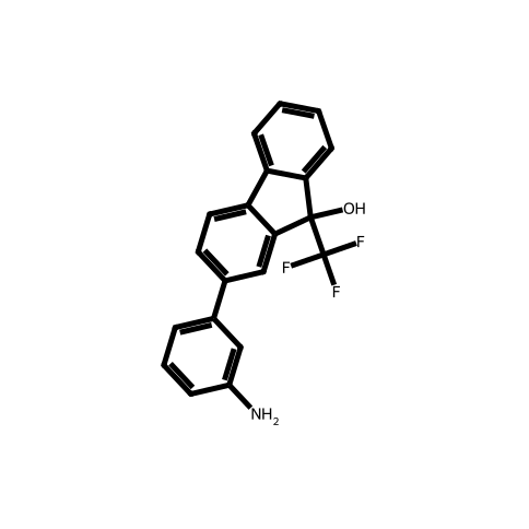 Nc1cccc(-c2ccc3c(c2)C(O)(C(F)(F)F)c2ccccc2-3)c1